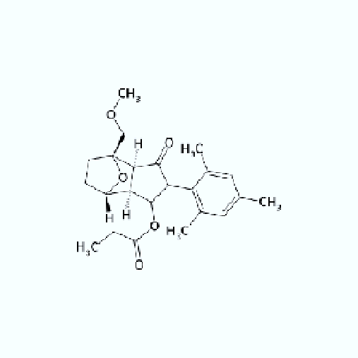 CCC(=O)OC1C(c2c(C)cc(C)cc2C)C(=O)[C@H]2[C@@H]1[C@@H]1CC[C@@]2(COC)O1